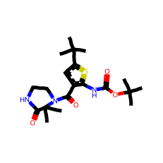 CC(C)(C)OC(=O)Nc1sc(C(C)(C)C)cc1C(=O)N1CCNC(=O)C1(C)C